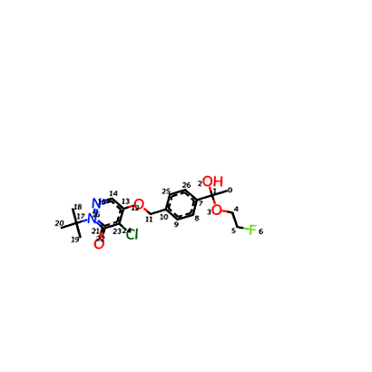 CC(O)(OCCF)c1ccc(COc2cnn(C(C)(C)C)c(=O)c2Cl)cc1